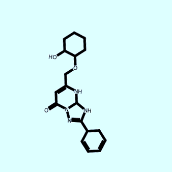 O=C1C=C(COC2CCCCC2O)NC2NC(C3C=CC=CC3)=NN12